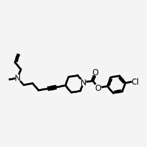 C=CCN(C)CCCC#CC1CCN(C(=O)Oc2ccc(Cl)cc2)CC1